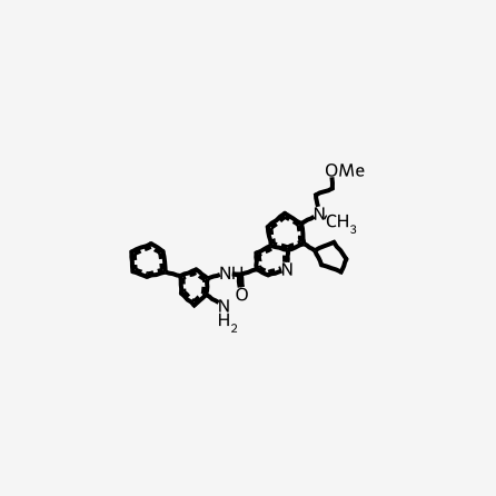 COCCN(C)c1ccc2cc(C(=O)Nc3cc(-c4ccccc4)ccc3N)cnc2c1C1CCCC1